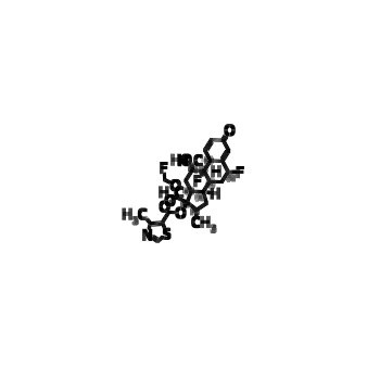 Cc1ncsc1C(=O)O[C@]1(C(=O)OCF)[C@H](C)C[C@H]2[C@@H]3C[C@H](F)C4=CC(=O)C=C[C@]4(C)[C@@]3(F)[C@@H](O)C[C@@]21C